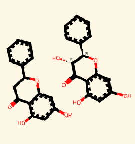 O=C1CC(c2ccccc2)Oc2cc(O)cc(O)c21.O=C1c2c(O)cc(O)cc2O[C@H](c2ccccc2)[C@H]1O